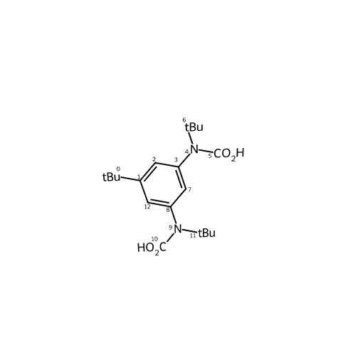 CC(C)(C)c1cc(N(C(=O)O)C(C)(C)C)cc(N(C(=O)O)C(C)(C)C)c1